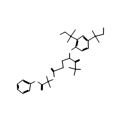 CCC(C)(C)c1ccc(OC(CCC(=O)NC(Cl)(Cl)C(=O)Nc2ccccc2)C(=O)C(C)(C)C)c(C(C)(C)CC)c1